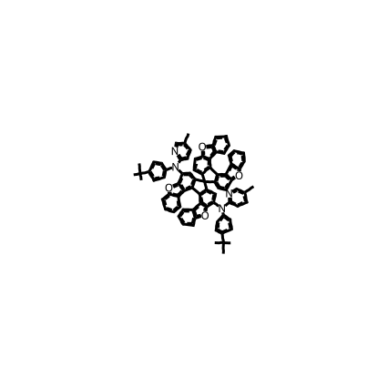 Cc1ccc(N(c2ccc(C(C)(C)C)cc2)c2cc3c(c4c2oc2ccccc24)-c2c(cc(N(c4ccc(C(C)(C)C)cc4)c4ccc(C)cn4)c4oc5ccccc5c24)C32c3ccc4oc5ccccc5c4c3-c3c2ccc2oc4ccccc4c32)nc1